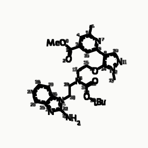 COC(=O)c1cc(C)nc(-c2cnn(C)c2OCCN(CCn2c(N)nc3ccccc32)C(=O)OC(C)(C)C)c1